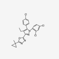 CCc1c(-c2nnc(C3(C)CC3)o2)nn(-c2ccc(Cl)cc2Cl)c1-c1ccc(Cl)cc1